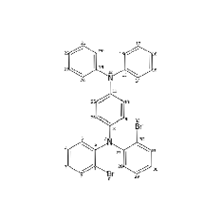 Brc1ccccc1N(c1ccc(N(c2ccccc2)c2ccccc2)cc1)c1ccccc1Br